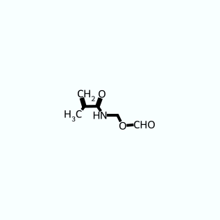 C=C(C)C(=O)NCOC=O